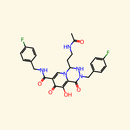 CC(=O)NCCC1NN(Cc2ccc(F)cc2)C(=O)c2c(O)c(=O)c(C(=O)NCc3ccc(F)cc3)cn21